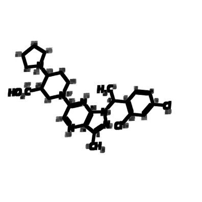 Cc1nn(C(C)c2ccc(Cl)cc2Cl)c2nc(N3CCC(N4CCCC4)C(C(=O)O)C3)cnc12